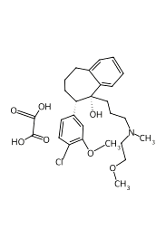 COCCN(C)CCC[C@]1(O)c2ccccc2CCC[C@H]1c1ccc(Cl)c(OC)c1.O=C(O)C(=O)O